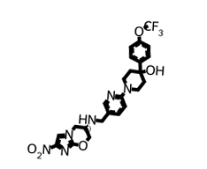 O=[N+]([O-])c1cn2c(n1)OC[C@@H](NCc1ccc(N3CCC(O)(c4ccc(OC(F)(F)F)cc4)CC3)nc1)C2